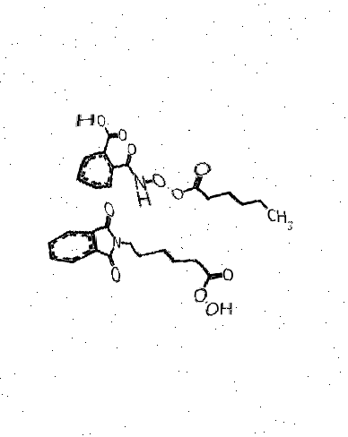 CCCCCC(=O)OONC(=O)c1ccccc1C(=O)O.O=C(CCCCCN1C(=O)c2ccccc2C1=O)OO